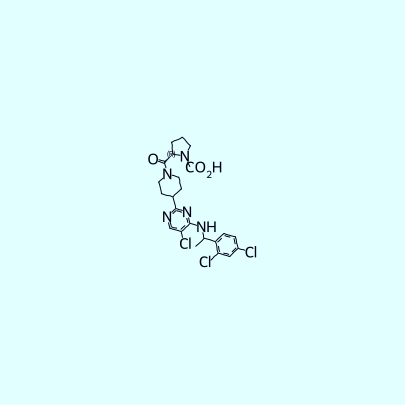 CC(Nc1nc(C2CCN(C(=O)[C@H]3CCCN3C(=O)O)CC2)ncc1Cl)c1ccc(Cl)cc1Cl